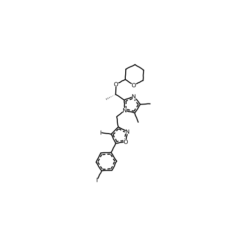 Cc1nc([C@H](C)OC2CCCCO2)n(Cc2noc(-c3ccc(I)cc3)c2I)c1C